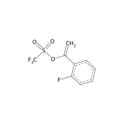 C=C(OS(=O)(=O)C(F)(F)F)c1ccccc1F